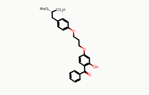 CO[C@@H](Cc1ccc(OCCCOc2ccc(C(=O)c3ccccc3)c(O)c2)cc1)C(=O)O